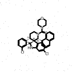 O=C(N1CCOCC1)N1CC[C@@H](c2cccc(Cl)c2)[C@]2(C(=O)Nc3cc(Cl)ccc32)[C@H]1c1cccc2ccccc12